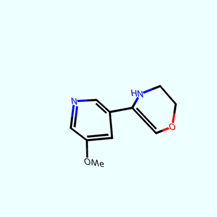 COc1cncc(C2=COCCN2)c1